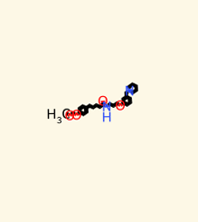 COCOc1ccc(CCCCC(=O)NCCCOc2cccc(CN3CCCCC3)c2)cc1